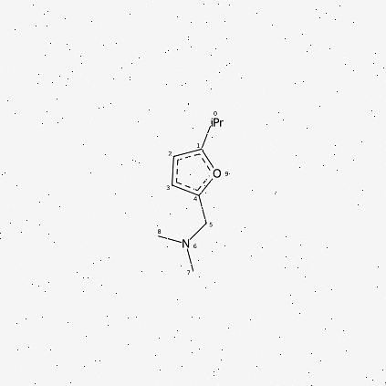 CC(C)c1ccc(CN(C)C)o1